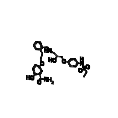 CCS(=O)(=O)Nc1ccc(OCC(O)CNCc2ccccc2CCOc2ccc(O)c(C(N)=O)c2)cc1